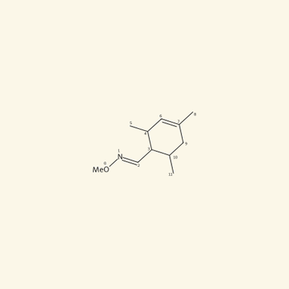 CO/N=C/C1C(C)C=C(C)CC1C